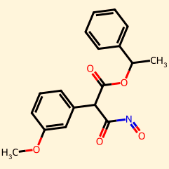 COc1cccc(C(C(=O)N=O)C(=O)OC(C)c2ccccc2)c1